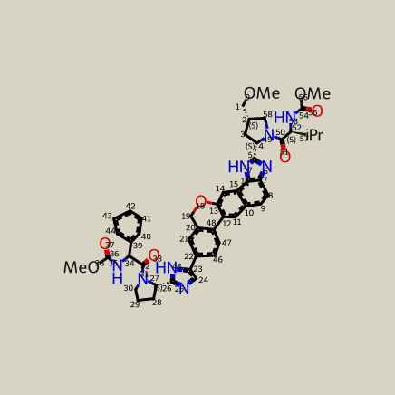 COC[C@H]1C[C@@H](c2nc3ccc4cc5c(cc4c3[nH]2)OCc2cc(-c3cnc([C@@H]4CCCN4C(=O)C(NC(=O)OC)c4ccccc4)[nH]3)ccc2-5)N(C(=O)[C@@H](NC(=O)OC)C(C)C)C1